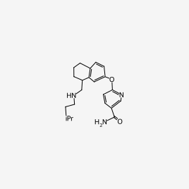 CC(C)CCNCC1CCCc2ccc(Oc3ccc(C(N)=O)cn3)cc21